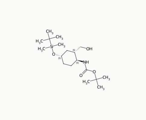 CC(C)(C)OC(=O)N[C@H]1CC[C@H](O[Si](C)(C)C(C)(C)C)C[C@@H]1CO